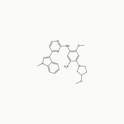 COc1cc(N2CCC(OC)C2)c(N)cc1Nc1nccc(-c2cn(C)c3ccccc23)n1